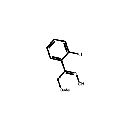 COC/C(=N\O)c1ccccc1Cl